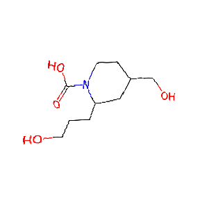 O=C(O)N1CCC(CO)CC1CCCO